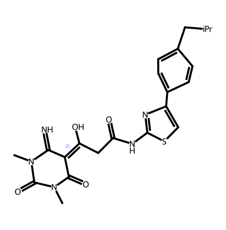 CC(C)Cc1ccc(-c2csc(NC(=O)C/C(O)=C3/C(=N)N(C)C(=O)N(C)C3=O)n2)cc1